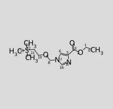 CCOC(=O)c1cn(COCCS(C)(C)C)cn1